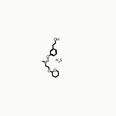 CN(CCOC1CCCCO1)SOc1cccc(CCO)c1.S